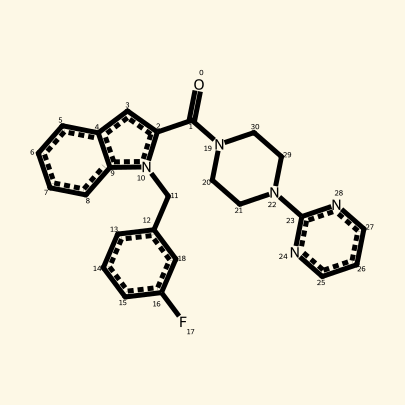 O=C(c1cc2ccccc2n1Cc1cccc(F)c1)N1CCN(c2ncccn2)CC1